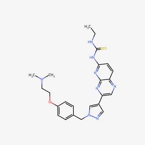 CCNC(=S)Nc1ccc2ncc(-c3cnn(Cc4ccc(OCCN(C)C)cc4)c3)nc2n1